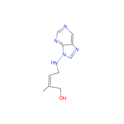 CC(=CCNn1cnc2cncnc21)CO